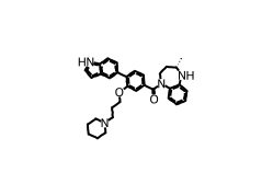 C[C@H]1CCN(C(=O)c2ccc(-c3ccc4[nH]ccc4c3)c(OCCCN3CCCCC3)c2)c2ccccc2N1